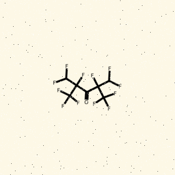 O=C(C(F)(C(F)F)C(F)(F)F)C(F)(C(F)F)C(F)(F)F